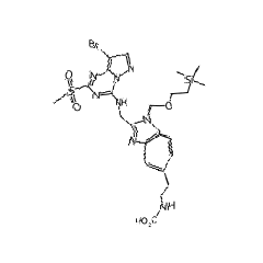 C[Si](C)(C)CCOCn1c(CNc2nc(S(C)(=O)=O)nc3c(Br)cnn23)nc2cc(CCNC(=O)O)ccc21